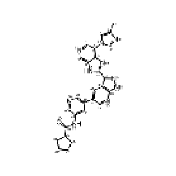 Cc1cn(-c2cncc3[nH]c(-c4n[nH]c5ncc(-c6cncc(NC(=O)C7CCCC7)c6)cc45)nc23)cn1